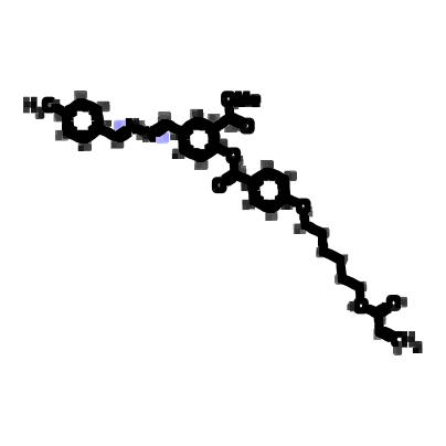 C=CC(=O)OCCCCCCOc1ccc(C(=O)Oc2ccc(/C=N/N=C/c3ccc(C)cc3)cc2C(=O)OC)cc1